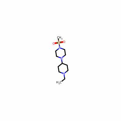 CCN1CCC(N2CCN(S(C)(=O)=O)CC2)CC1